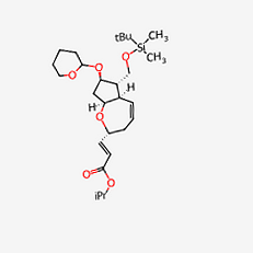 CC(C)OC(=O)/C=C/[C@H]1CC=C[C@@H]2[C@@H](CO[Si](C)(C)C(C)(C)C)[C@H](OC3CCCCO3)C[C@@H]2O1